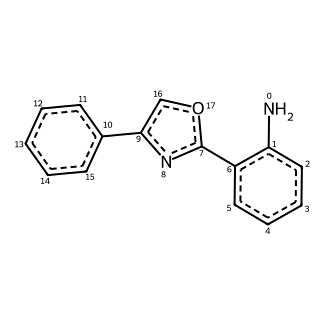 Nc1ccccc1-c1nc(-c2ccccc2)co1